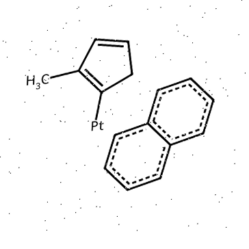 CC1=[C]([Pt])CC=C1.c1ccc2ccccc2c1